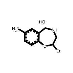 CCC1CNCc2cc(N)ccc2O1.Cl